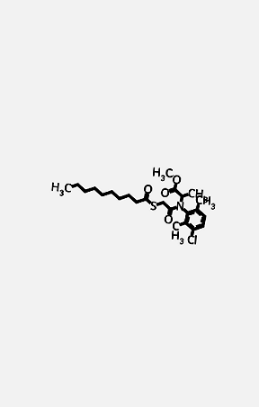 CCCCCCCCCC(=O)SCC(=O)N(c1c(C)ccc(Cl)c1C)C(C)C(=O)OC